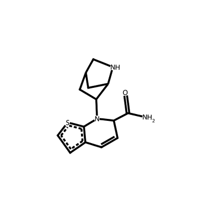 NC(=O)C1C=Cc2ccsc2N1C1CC2CNC1C2